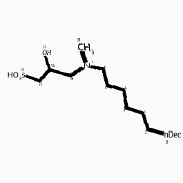 CCCCCCCCCCCCCCCCN(C)CC(O)CS(=O)(=O)O